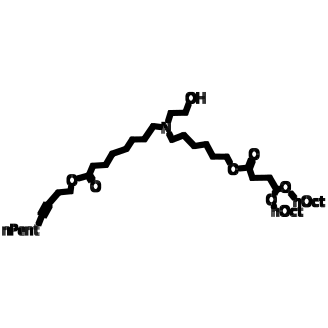 CCCCCC#CCCOC(=O)CCCCCCCN(CCO)CCCCCCOC(=O)CCC(OCCCCCCCC)OCCCCCCCC